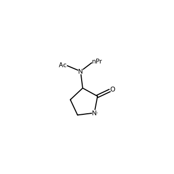 CCCN(C(C)=O)C1CC[N]C1=O